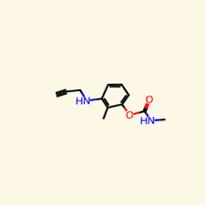 C#CCNc1cccc(OC(=O)NC)c1C